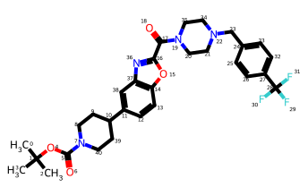 CC(C)(C)OC(=O)N1CCC(c2ccc3oc(C(=O)N4CCN(Cc5ccc(C(F)(F)F)cc5)CC4)nc3c2)CC1